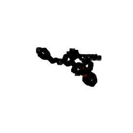 COc1ccc(CN2C3CCC2CN(c2ccc(-c4cc(OCCC5C6COCC56)cn5ncc(C#N)c45)cn2)C3)cn1